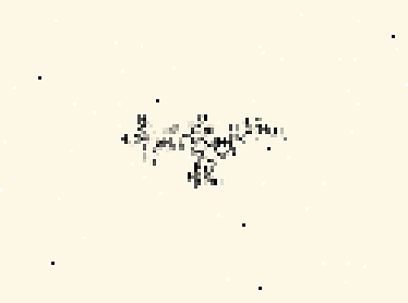 CN(C)CCCNC(=O)Nc1cccc2nn3c(C4CCN(C(=O)OC(C)(C)C)CC4)cc(=O)[nH]c3c12.O=C(O)C(F)(F)F